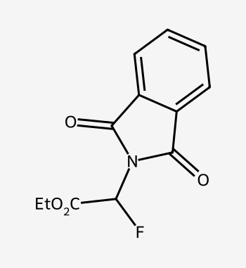 CCOC(=O)C(F)N1C(=O)c2ccccc2C1=O